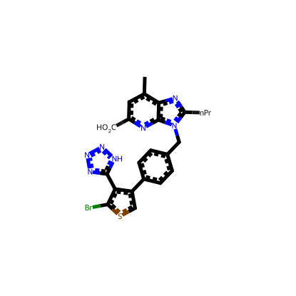 CCCc1nc2c(C)cc(C(=O)O)nc2n1Cc1ccc(-c2csc(Br)c2-c2nnn[nH]2)cc1